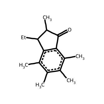 CCC1c2c(C)c(C)c(C)c(C)c2C(=O)C1C